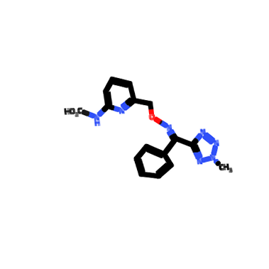 Cn1nnc(C(=NOCc2cccc(NC(=O)O)n2)c2ccccc2)n1